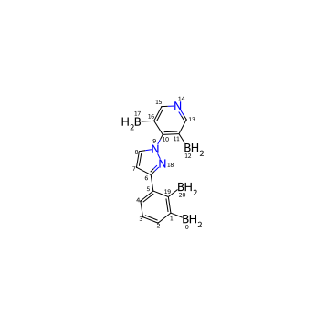 Bc1cccc(-c2ccn(-c3c(B)cncc3B)n2)c1B